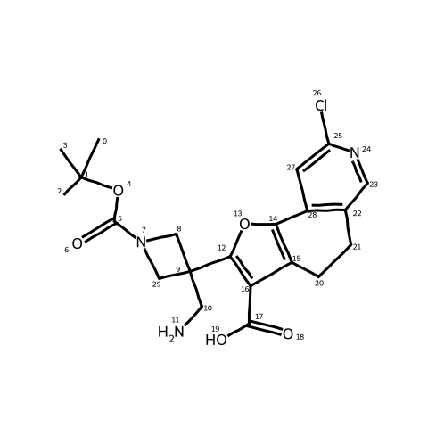 CC(C)(C)OC(=O)N1CC(CN)(c2oc3c(c2C(=O)O)CCc2cnc(Cl)cc2-3)C1